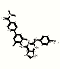 Cc1cc(-c2ccc(C(=O)N(C)C)cn2)cc(C)c1Oc1nc(Nc2ccc(N)cc2)nc2[nH]cnc12